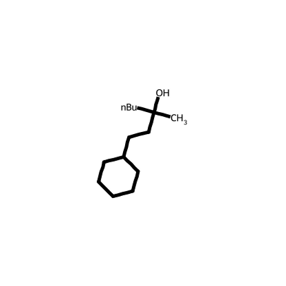 CCCCC(C)(O)CCC1CCCCC1